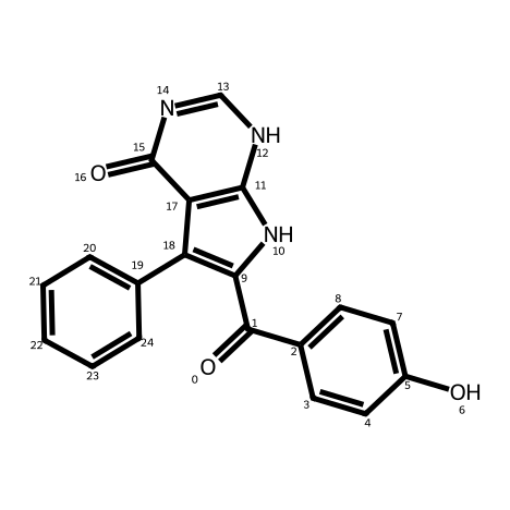 O=C(c1ccc(O)cc1)c1[nH]c2[nH]cnc(=O)c2c1-c1ccccc1